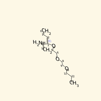 C=C/C=C(/OCCOCCOCCC)C(=C)N